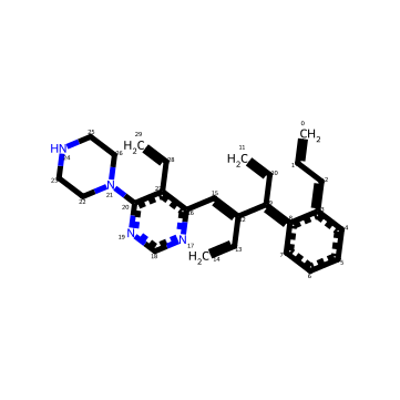 C=C/C=c1/cccc/c1=C(C=C)\C(C=C)=C\c1ncnc(N2CCNCC2)c1C=C